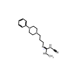 CN/C(=N/CCCN1CCN(c2ccccc2)CC1)NC#N